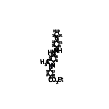 CCOC(=O)c1ccc(/N=N/c2ccc(NNc3ccc(N4CCCC4)cc3)cc2C)cc1